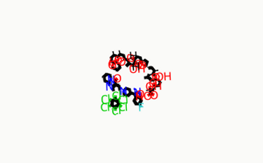 C=C1[C@@H](O)[C@@H]2O[C@]3(CC[C@H](/C=C/[C@@H](C)[C@@H]4CC(C)=C[C@@]5(O[C@H](C[C@@](C)(O)C(=O)O)CC[C@H]5O)O4)O3)CC[C@H]2O[C@@H]1[C@@H](O)C[C@H](C)[C@H]1O[C@@]2(CCCCO2)CC[C@H]1C.Cc1nc2n(c(=O)c1CCN1CCC(c3noc4cc(F)ccc34)CC1)CCCC2.Clc1c(Cl)c(Cl)c(Cl)c(Cl)c1Cl